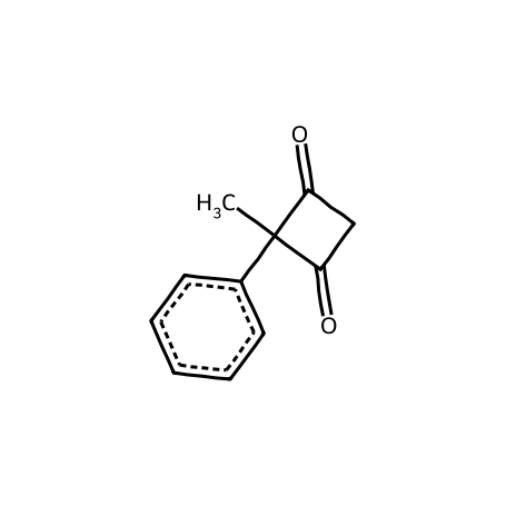 CC1(c2ccccc2)C(=O)CC1=O